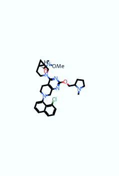 CON(C)C(=O)[C@@]12CCN(c3nc(OCC4CCCN4C)nc4c3CCN(c3cccc5cccc(Cl)c35)C4)C[C@@H]1C2